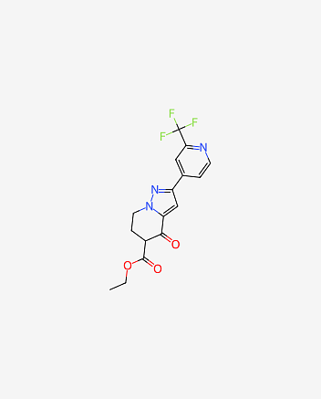 CCOC(=O)C1CCn2nc(-c3ccnc(C(F)(F)F)c3)cc2C1=O